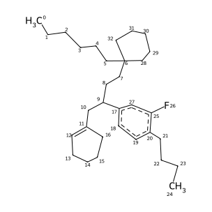 CCCCCCC1(CCC(CC2=CCCCC2)c2ccc(CCCC)c(F)c2)CCCCC1